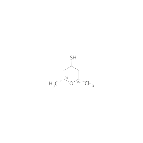 C[C@@H]1CC(S)C[C@H](C)O1